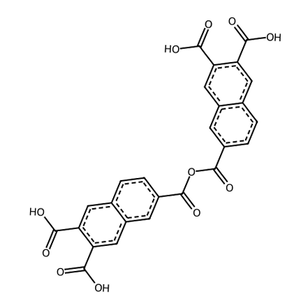 O=C(OC(=O)c1ccc2cc(C(=O)O)c(C(=O)O)cc2c1)c1ccc2cc(C(=O)O)c(C(=O)O)cc2c1